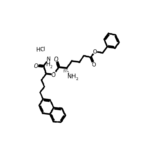 Cl.NC(=O)C(CCCc1ccc2ccccc2c1)OC(=O)[C@@H](N)CCCC(=O)OCc1ccccc1